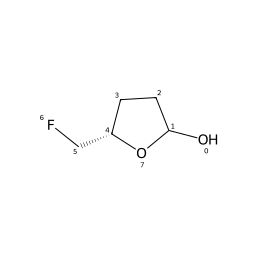 OC1CC[C@@H](CF)O1